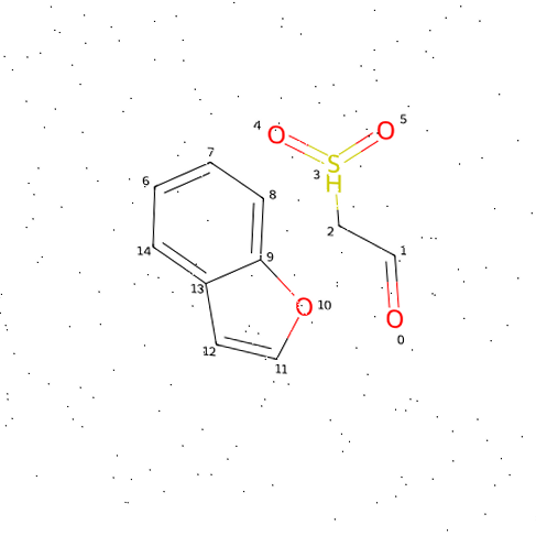 O=CC[SH](=O)=O.c1ccc2occc2c1